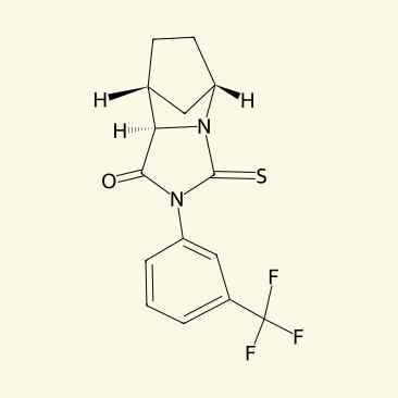 O=C1[C@H]2[C@@H]3CC[C@@H](C3)N2C(=S)N1c1cccc(C(F)(F)F)c1